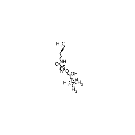 CCC#CCCCNC(=O)c1cnc(OCC(O)CNC(C)(C)C)s1